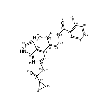 C[C@@H]1CN(C(=O)c2ccncc2F)CC=C1c1cc(NC(=O)C2CC2)nc2[nH]ccc12